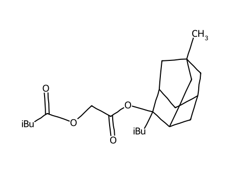 CCC(C)C(=O)OCC(=O)OC1(C(C)CC)C2CC3CC1CC(C)(C3)C2